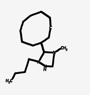 CCCCN1NCN(C)C1C1CCCCCCCCC1